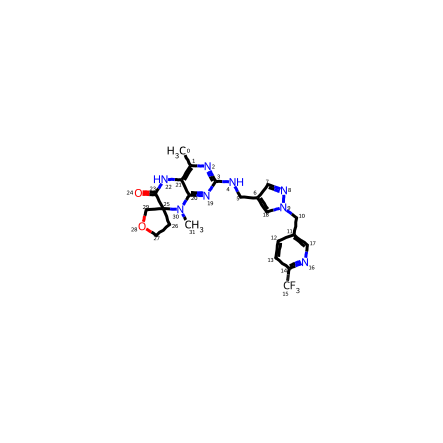 Cc1nc(NCc2cnn(Cc3ccc(C(F)(F)F)nc3)c2)nc2c1NC(=O)C1(CCOC1)N2C